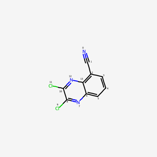 N#Cc1cccc2nc(Cl)c(Cl)nc12